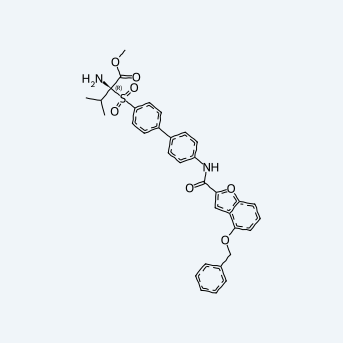 COC(=O)[C@@](N)(C(C)C)S(=O)(=O)c1ccc(-c2ccc(NC(=O)c3cc4c(OCc5ccccc5)cccc4o3)cc2)cc1